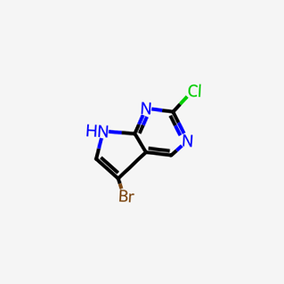 Clc1ncc2c(Br)c[nH]c2n1